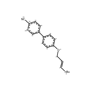 CCCC/C=C/COc1ccc(-c2ccc(C#N)nc2)cc1